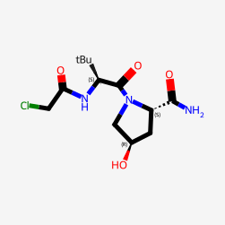 CC(C)(C)[C@H](NC(=O)CCl)C(=O)N1C[C@H](O)C[C@H]1C(N)=O